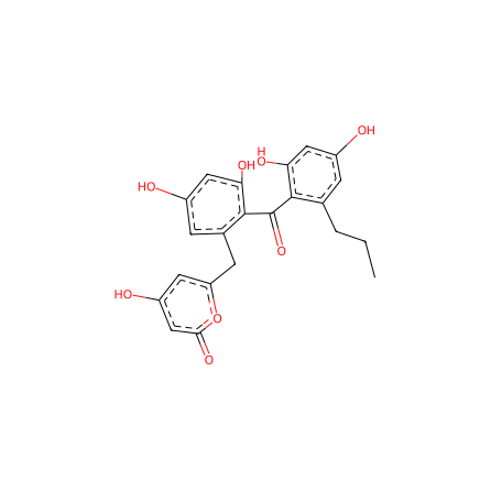 CCCc1cc(O)cc(O)c1C(=O)c1c(O)cc(O)cc1Cc1cc(O)cc(=O)o1